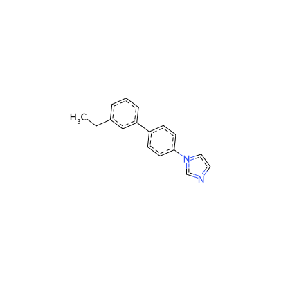 CCc1cccc(-c2ccc(-n3ccnc3)cc2)c1